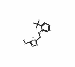 CSc1nnc(CNc2ccccc2C(C)(C)C)o1